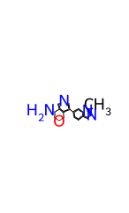 Cn1ncc2ccc(-c3cncc4c3COCC4N)cc21